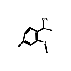 COc1cc(C)ccc1[C@H](C)N